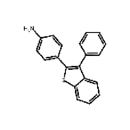 Nc1ccc(-c2sc3ccccc3c2-c2ccccc2)cc1